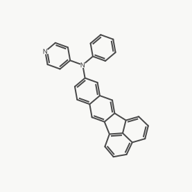 c1ccc(N(c2ccncc2)c2ccc3cc4c(cc3c2)-c2cccc3cccc-4c23)cc1